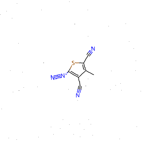 Cc1c(C#N)sc([N+]#N)c1C#N